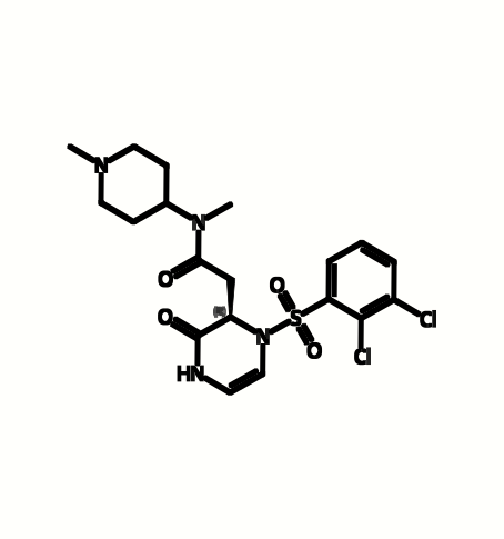 CN1CCC(N(C)C(=O)C[C@@H]2C(=O)NC=CN2S(=O)(=O)c2cccc(Cl)c2Cl)CC1